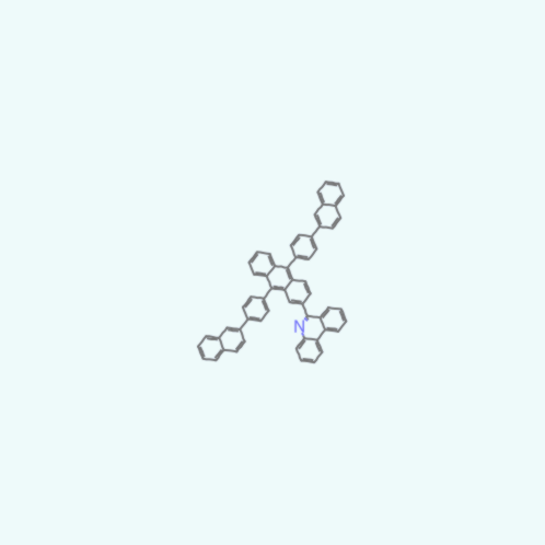 c1ccc2cc(-c3ccc(-c4c5ccccc5c(-c5ccc(-c6ccc7ccccc7c6)cc5)c5cc(-c6nc7ccccc7c7ccccc67)ccc45)cc3)ccc2c1